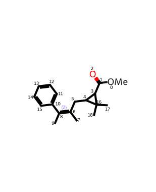 COC(=O)C1C(C/C(C)=C(/C)c2ccccc2)C1(C)C